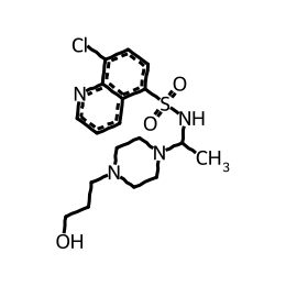 CC(NS(=O)(=O)c1ccc(Cl)c2ncccc12)N1CCN(CCCO)CC1